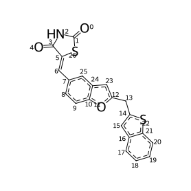 O=C1NC(=O)C(=Cc2ccc3oc(Cc4cc5ccccc5s4)cc3c2)S1